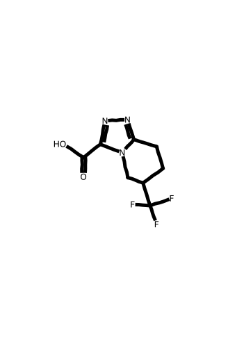 O=C(O)c1nnc2n1CC(C(F)(F)F)CC2